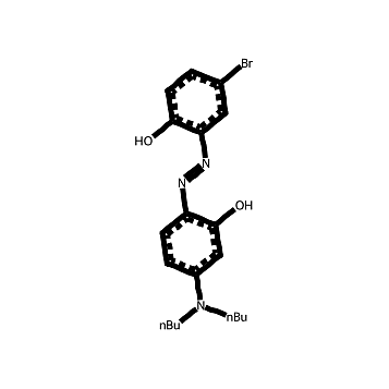 CCCCN(CCCC)c1ccc(N=Nc2cc(Br)ccc2O)c(O)c1